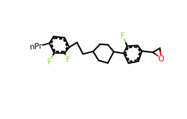 CCCc1ccc(CCC2CCC(c3ccc(C4CO4)cc3F)CC2)c(F)c1F